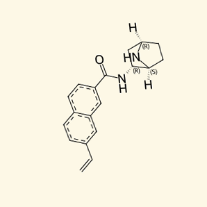 C=Cc1ccc2ccc(C(=O)N[C@@H]3C[C@H]4CC[C@@H]3N4)cc2c1